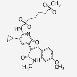 CNC(=O)c1c(-c2ccc(OC)cc2)oc2nc(NS(=O)(=O)CCCCS(C)(=O)=O)c(C3CC3)cc12